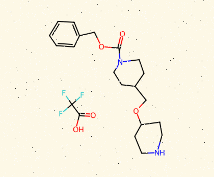 O=C(O)C(F)(F)F.O=C(OCc1ccccc1)N1CCC(COC2CCNCC2)CC1